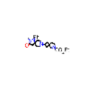 CCOC(=O)N1CCC2(CC(N3CCC4(CC3)CC(=O)N(C)N4CC)C2)C1